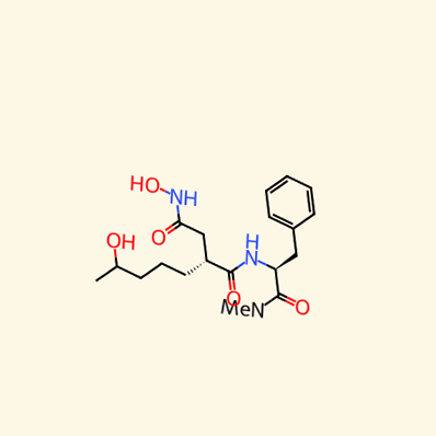 CNC(=O)[C@H](Cc1ccccc1)NC(=O)[C@H](CCCC(C)O)CC(=O)NO